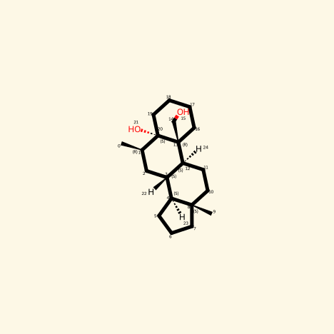 C[C@@H]1C[C@H]2[C@@H]3CCC[C@@]3(C)CC[C@@H]2[C@@]2(CO)CCCC[C@]12O